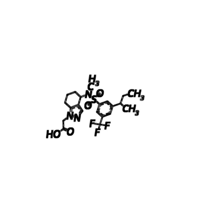 CCC(C)c1cc(C(F)(F)F)cc(S(=O)(=O)N(C)C2CCCc3c2cnn3CC(=O)O)c1